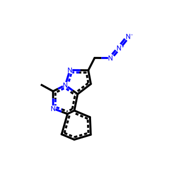 Cc1nc2ccccc2c2cc(CN=[N+]=[N-])nn12